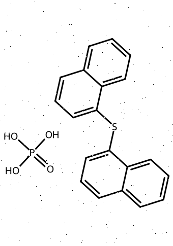 O=P(O)(O)O.c1ccc2c(Sc3cccc4ccccc34)cccc2c1